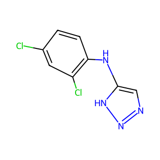 Clc1ccc(Nc2cnn[nH]2)c(Cl)c1